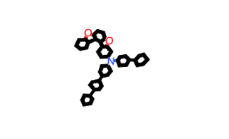 c1ccc(-c2ccc(-c3ccc(N(c4ccc(-c5ccccc5)cc4)c4ccc5c(c4)oc4ccc6oc7ccccc7c6c45)cc3)cc2)cc1